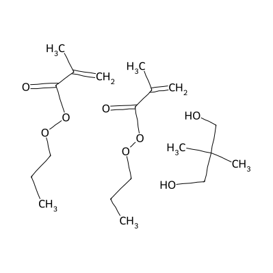 C=C(C)C(=O)OOCCC.C=C(C)C(=O)OOCCC.CC(C)(CO)CO